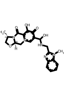 C[C@H]1CO[C@@H]2Cn3cc(C(O)NCc4nc5ccccc5n4C)c(=O)c(O)c3C(=O)N12